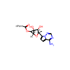 CCCCCC(=O)OC1[C@H]2O[C@@](C)(c3ccc4c(N)ncnn34)[C@H](O)[C@@]12O